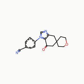 N#Cc1ccc(-n2cnc3c2C(=O)CC2(CCOCC2)C3)cc1